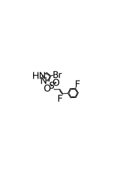 O=S(=O)(CC=C(F)c1cccc(F)c1)c1n[nH]cc1Br